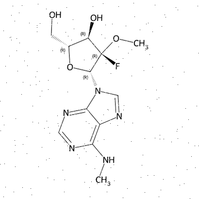 CNc1ncnc2c1ncn2[C@@H]1O[C@H](CO)[C@@H](O)[C@]1(F)OC